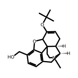 CN1CCC23c4c5ccc(CO)c4OC2C(OC(C)(C)C)=CC[C@H]3[C@H]1C5